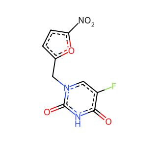 O=c1[nH]c(=O)n(Cc2ccc([N+](=O)[O-])o2)cc1F